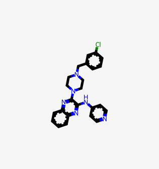 Clc1cccc(CN2CCN(c3nc4ccccc4nc3Nc3ccncc3)CC2)c1